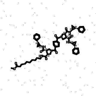 COC(=O)CCCCCCCCCNC(=O)[C@@H]1CN(C(=O)c2ccc(C(=O)N3C[C@@H](C(=O)N[C@H]4C[C@@H]4c4ccccc4)[C@H](C(=O)N[C@H]4C[C@@H]4c4ccccc4)C3)cc2)C[C@H]1C(=O)N[C@H]1C[C@@H]1c1ccccc1